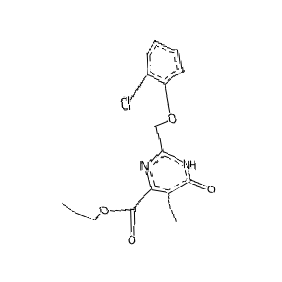 CCOC(=O)c1nc(COc2ccccc2Cl)[nH]c(=O)c1C